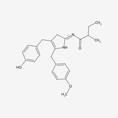 CCC(C)C(=O)/N=C1/CC(Cc2ccc(O)cc2)=C(Cc2ccc(OC)cc2)N1